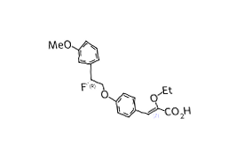 CCO/C(=C\c1ccc(OC[C@H](F)c2cccc(OC)c2)cc1)C(=O)O